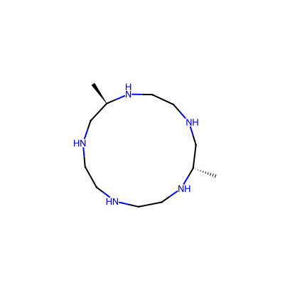 C[C@@H]1CNCCNCCN[C@@H](C)CNCCN1